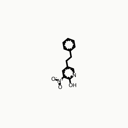 O=[N+]([O-])c1cc(CCc2ccccc2)cnc1O